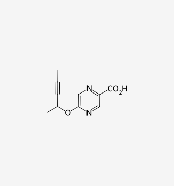 CC#CC(C)Oc1cnc(C(=O)O)cn1